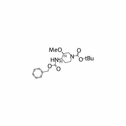 CO[C@H]1CN(C(=O)OC(C)(C)C)CC[C@H]1NC(=O)OCc1ccccc1